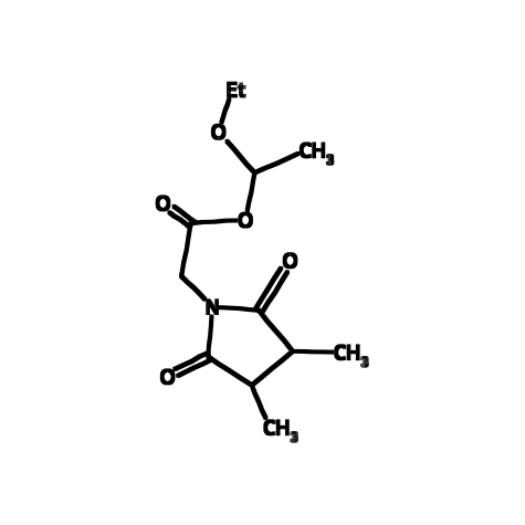 CCOC(C)OC(=O)CN1C(=O)C(C)C(C)C1=O